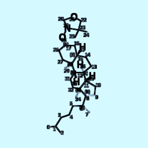 CC(C)CCC[C@@H](C)[C@H]1CC[C@H]2[C@@H]3CC[C@H]4C[C@@H](ON5COCC5(C)C)CC[C@]4(C)[C@H]3CC[C@]12C